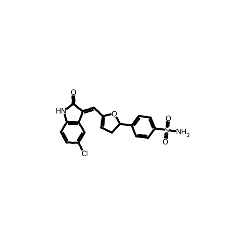 NS(=O)(=O)c1ccc(C2CC=C(/C=C3/C(=O)Nc4ccc(Cl)cc43)O2)cc1